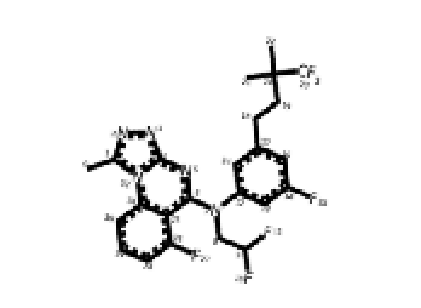 Cc1nnc2nc(N(CC(F)F)c3cc(F)cc(CCC(C)(C)C(F)(F)F)c3)c3c(F)cccc3n12